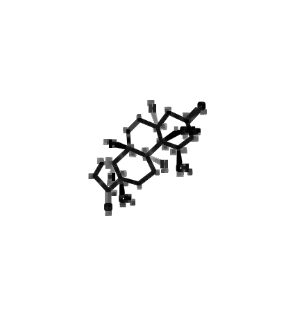 COC[C@]12[C@@H](CC[C@@H]3[C@@H]1CC[C@]1(C)C(=O)CC[C@@H]31)CC(=O)C[C@H]2C